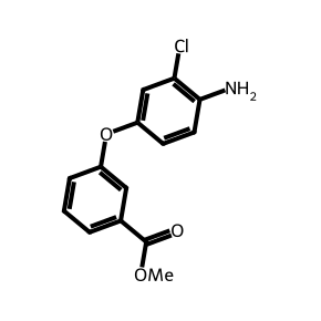 COC(=O)c1cccc(Oc2ccc(N)c(Cl)c2)c1